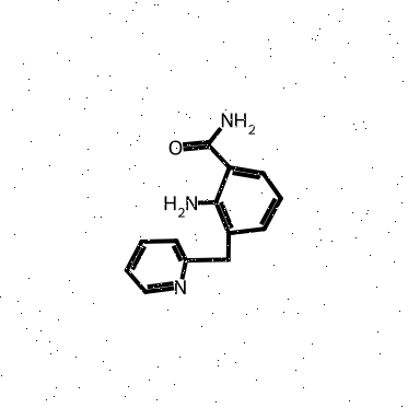 NC(=O)c1cccc(Cc2ccccn2)c1N